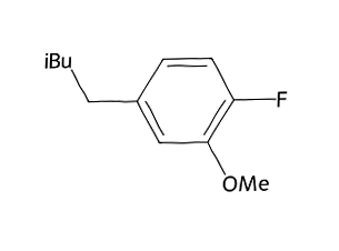 CCC(C)Cc1ccc(F)c(OC)c1